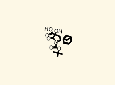 CC(C)(C)OC(=O)N1CCC(O)(C(=O)O)C1=O.c1cc2cc(c1)C2